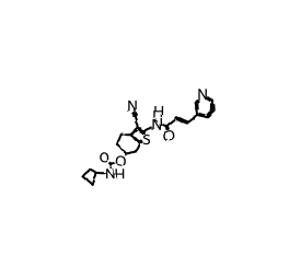 N#Cc1c(NC(=O)C=Cc2cccnc2)sc2c1CCC(OC(=O)NC1CCC1)C2